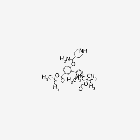 CC(C)(C)OC=O.CC(C)OC(=O)c1ccc(OC(N)C2CCNCC2)c(-c2ccnn2C)c1